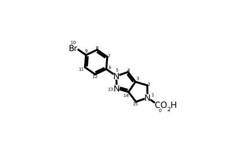 O=C(O)N1Cc2cn(-c3ccc(Br)cc3)nc2C1